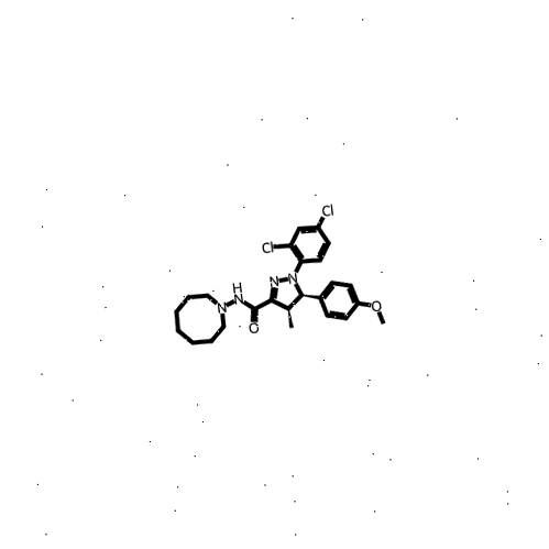 COc1ccc([C@H]2[C@@H](C)C(C(=O)NN3CCCCCCC3)=NN2c2ccc(Cl)cc2Cl)cc1